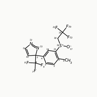 Cc1ccc(C2(C(F)(F)F)C=CN=N2)cc1[S+]([O-])CC(F)(F)F